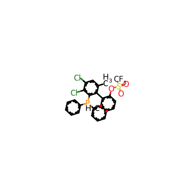 Cc1cccc(OS(=O)(=O)C(F)(F)F)c1-c1c(C)cc(Cl)c(Cl)c1P(c1ccccc1)c1ccccc1